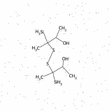 CC(O)C(C)([SiH3])SSC(C)([SiH3])C(C)O